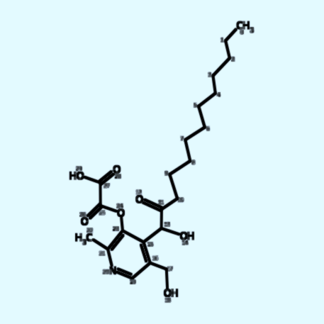 CCCCCCCCCCCC(=O)C(O)c1c(CO)cnc(C)c1OC(=O)C(=O)O